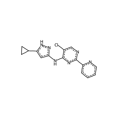 Clc1cnc(-c2ccccn2)nc1Nc1cc(C2CC2)[nH]n1